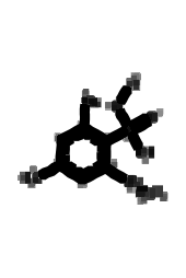 [CH2]c1cc(C(C)(C)C)c(P(=O)(O)OCC)c(C(C)(C)C)c1.[MgH2]